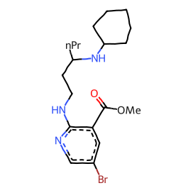 CCCC(CCNc1ncc(Br)cc1C(=O)OC)NC1CCCCC1